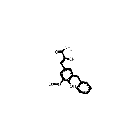 CCOc1cc(/C=C(\C#N)C(N)=O)cc(Cc2ccccc2)c1O